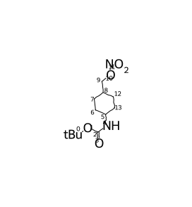 CC(C)(C)OC(=O)NC1CCC(CO[N+](=O)[O-])CC1